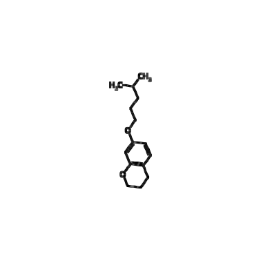 CC(C)CCCOc1ccc2c(c1)OCCC2